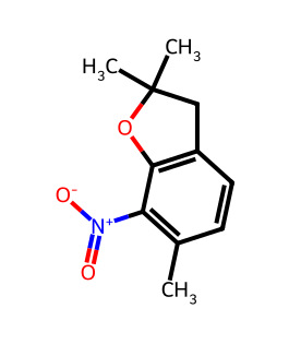 Cc1ccc2c(c1[N+](=O)[O-])OC(C)(C)C2